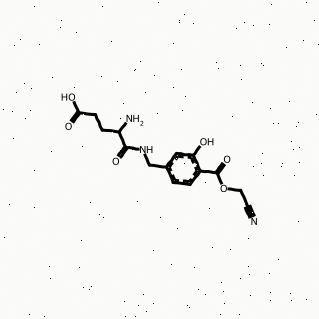 N#CCOC(=O)c1ccc(CNC(=O)C(N)CCC(=O)O)cc1O